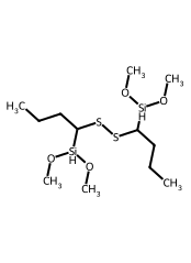 CCCC(SSC(CCC)[SiH](OC)OC)[SiH](OC)OC